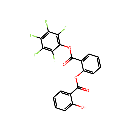 O=C(Oc1ccccc1C(=O)Oc1c(F)c(F)c(F)c(F)c1F)c1ccccc1O